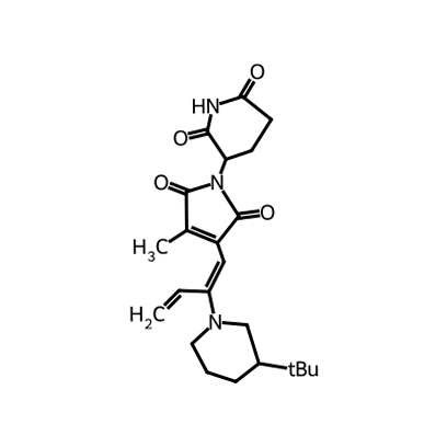 C=C/C(=C\C1=C(C)C(=O)N(C2CCC(=O)NC2=O)C1=O)N1CCCC(C(C)(C)C)C1